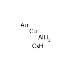 [AlH3].[Au].[CsH].[Cu]